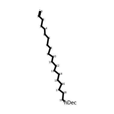 [CH]=CCCCCCCCCCCCCCCCCCCCCCCCCCCCC